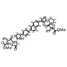 COC(=O)N[C@H](C(=O)N1CC(=O)C[C@H]1C1=NCC(c2ccc(-c3ccc4cc(-c5cnc([C@@H]6CCCN6C(=O)[C@@H](NC(=O)OC)C(C)C)[nH]5)ccc4c3)cc2)N1)C(C)C